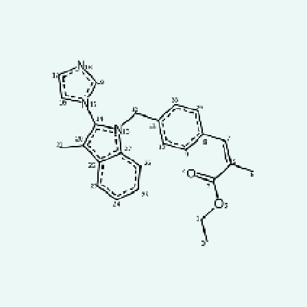 CCOC(=O)C(C)=Cc1ccc(Cn2c(-n3ccnc3)c(C)c3ccccc32)cc1